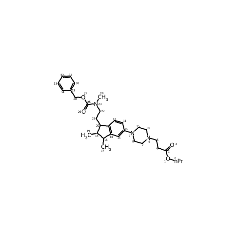 CCCOC(=O)CCN1CCN(c2ccc3c(c2)C(C)[C@@H](C)C3CCN(C)C(=O)OCc2ccccc2)CC1